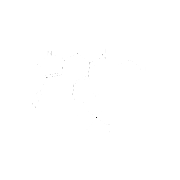 CCCNc1cc(OS(=O)(=O)C(F)(F)F)c2c(C#N)cnn2c1